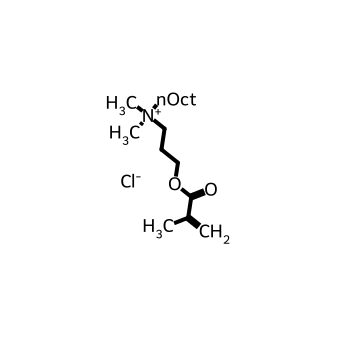 C=C(C)C(=O)OCCC[N+](C)(C)CCCCCCCC.[Cl-]